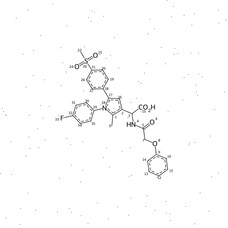 Cc1c(C(NC(=O)COc2ccccc2)C(=O)O)cc(-c2ccc(S(C)(=O)=O)cc2)n1-c1ccc(F)cc1